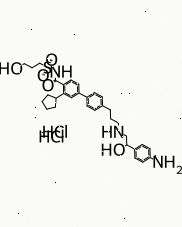 Cl.Cl.Nc1ccc([C@@H](O)CNCCCc2ccc(-c3ccc(C(=O)NS(=O)(=O)CCCO)c(C4CCCC4)c3)cc2)cc1